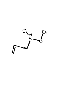 C=CC[SiH](Cl)OCC